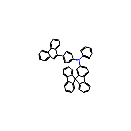 c1ccc(N(c2ccc(-c3cc4ccccc4c4ccccc34)cc2)c2ccc3c(c2)C2(c4ccccc4-c4ccccc42)c2ccccc2-3)cc1